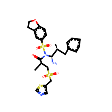 CC(CS(=O)(=O)Cc1cncs1)C(=O)N([C@H](N)[C@@H](C)Cc1ccccc1)S(=O)(=O)c1ccc2c(c1)CCO2